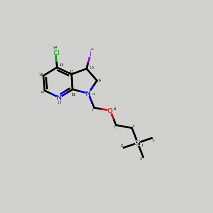 C[Si](C)(C)CCOCN1CC(I)c2c(Cl)ccnc21